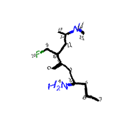 C=C(CC(N)CCC)C(CF)C/C(C)=N\C